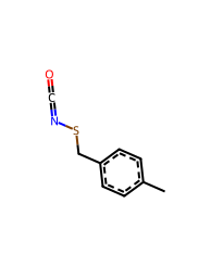 Cc1ccc(CSN=C=O)cc1